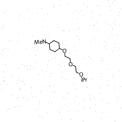 CNC1CCC(OCCOCCOC(C)C)CC1